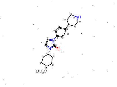 CCOC(=O)[C@H]1CC[C@H](n2ccn(-c3ccc(C4CCNCC4)cc3)c2=O)CC1